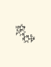 FC(F)(F)CN(Cc1c[nH]cn1)c1nccc(C(F)(F)F)n1